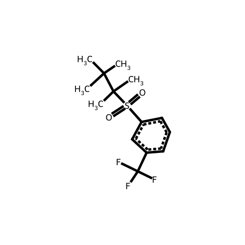 CC(C)(C)C(C)(C)S(=O)(=O)c1cccc(C(F)(F)F)c1